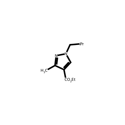 CCOC(=O)c1cn(CC(C)C)nc1C